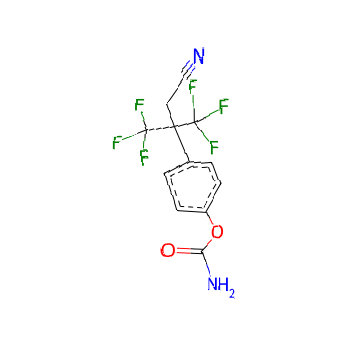 N#CCC(c1ccc(OC(N)=O)cc1)(C(F)(F)F)C(F)(F)F